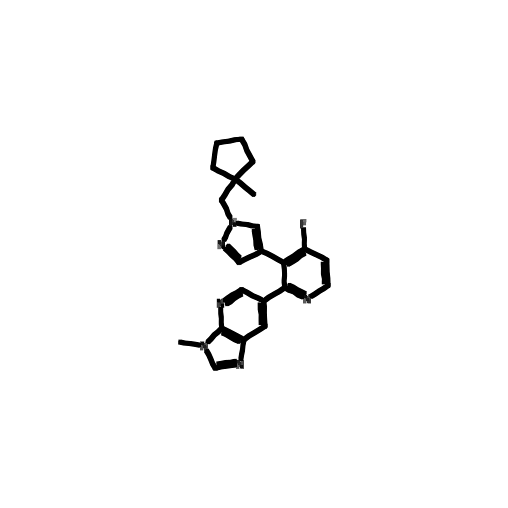 Cn1cnc2cc(-c3nccc(F)c3-c3cnn(CC4(C)CCCC4)c3)cnc21